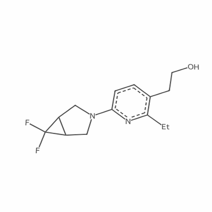 CCc1nc(N2CC3C(C2)C3(F)F)ccc1CCO